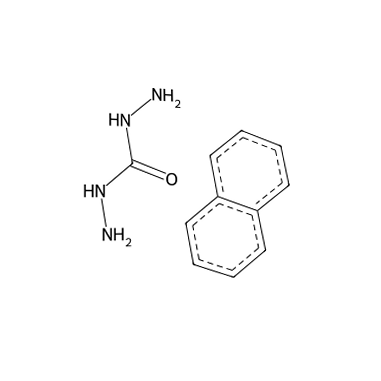 NNC(=O)NN.c1ccc2ccccc2c1